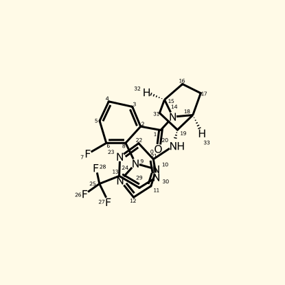 O=C(c1cccc(F)c1-n1nccn1)N1[C@@H]2CC[C@H]1[C@H](Nc1cnc(C(F)(F)F)cn1)C2